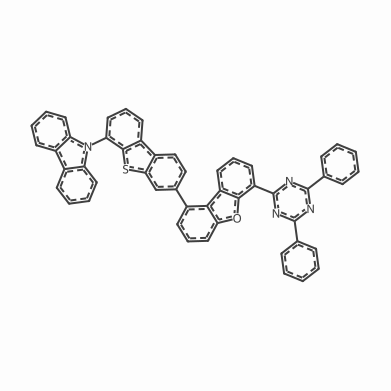 c1ccc(-c2nc(-c3ccccc3)nc(-c3cccc4c3oc3cccc(-c5ccc6c(c5)sc5c(-n7c8ccccc8c8ccccc87)cccc56)c34)n2)cc1